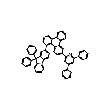 c1ccc(-c2cc(-c3ccccc3)nc(-c3ccc4c(c3)c3ccccc3c3cccc(-c5ccc6c(c5)C(c5ccccc5)(c5ccccc5)c5ccccc5-6)c34)c2)cc1